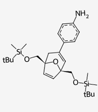 CC(C)(C)[Si](C)(C)OC[C@]12C=C[C@](CO[Si](C)(C)C(C)(C)C)(CC(c3ccc(N)cc3)=C1)O2